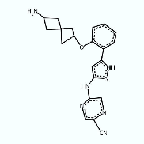 N#Cc1cnc(Nc2cc(-c3ccccc3OC3CC4(CC(N)C4)C3)[nH]n2)cn1